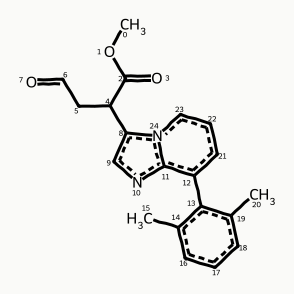 COC(=O)C(CC=O)c1cnc2c(-c3c(C)cccc3C)cccn12